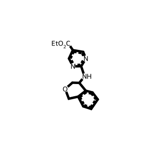 CCOC(=O)c1cnc(NC2COCc3ccccc32)nc1